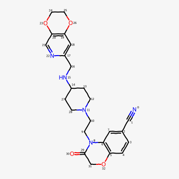 N#Cc1ccc2c(c1)N(CCN1CCC(NCc3cc4c(cn3)OCCO4)CC1)C(=O)CO2